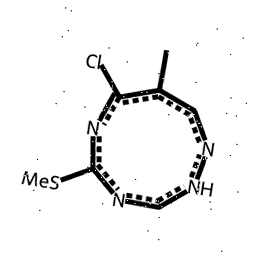 CSc1nc[nH]ncc(C)c(Cl)n1